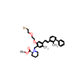 Cc1c(/C=C/c2cc(OCCOCCBr)c(CN3CCCC[C@H]3C(=O)OC(C)(C)C)cc2C(F)(F)F)cccc1-c1ccccc1